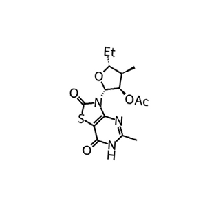 CC[C@H]1O[C@@H](n2c(=O)sc3c(=O)[nH]c(C)nc32)[C@H](OC(C)=O)[C@@H]1C